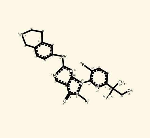 CCn1c(=O)c2cnc(Nc3ccc4c(c3)CCNC4)nc2n1-c1nc(C(C)(C)CO)ccc1F